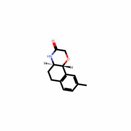 Cc1ccc2c(c1)[C@H]1OCC(=O)N[C@@H]1CC2